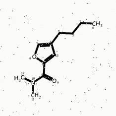 CCCCc1coc(C(=O)N(C)C)c1